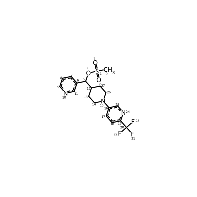 CS(=O)(=O)OC(c1cccnc1)C1CCN(c2ccc(C(F)(F)F)nc2)CC1